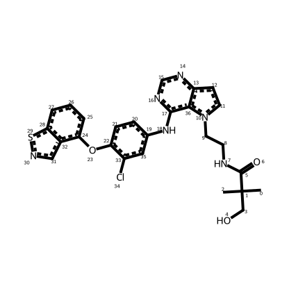 CC(C)(CO)C(=O)NCCn1ccc2ncnc(Nc3ccc(Oc4cccc5sncc45)c(Cl)c3)c21